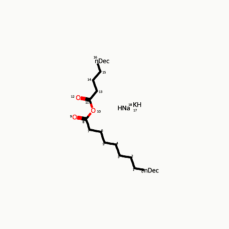 CCCCCCCCCCCCCCCCCC(=O)OC(=O)CCCCCCCCCCCCC.[KH].[NaH]